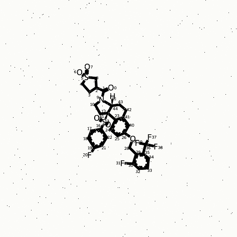 O=C(C1CCS(=O)(=O)C1)N1CC[C@@]2(S(=O)(=O)c3ccc(F)cc3)c3ccc(OCc4c(F)cccc4C(F)(F)F)cc3CC[C@@H]12